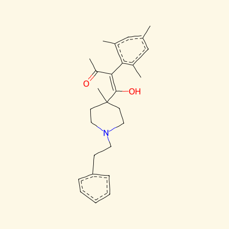 CC(=O)/C(=C(/O)C1(C)CCN(CCc2ccccc2)CC1)c1c(C)cc(C)cc1C